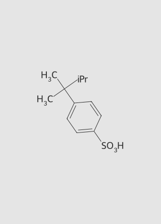 CC(C)C(C)(C)c1ccc(S(=O)(=O)O)cc1